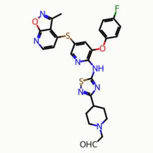 Cc1noc2nccc(Sc3cnc(Nc4nc(C5CCN(CC=O)CC5)ns4)c(Oc4ccc(F)cc4)c3)c12